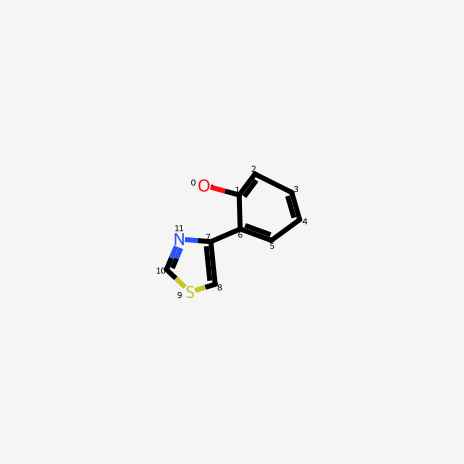 [O]c1ccccc1-c1cscn1